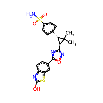 CC1(C)[C@@H](c2ccc(S(N)(=O)=O)cc2)[C@@H]1c1noc(-c2ccc3nc(O)sc3c2)n1